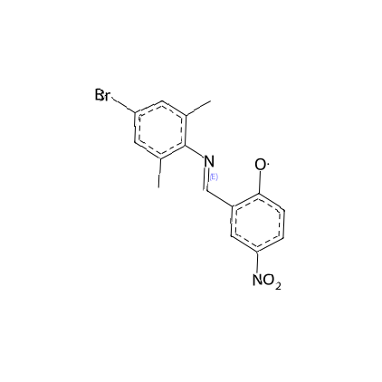 Cc1cc(Br)cc(C)c1/N=C/c1cc([N+](=O)[O-])ccc1[O]